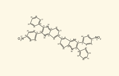 O=[N+]([O-])c1ccc(-c2nc3cc(-c4ccc5nc(-c6ccccc6)c(-c6ccc([N+](=O)[O-])cc6)nc5c4)ccc3nc2-c2ccccc2)cc1